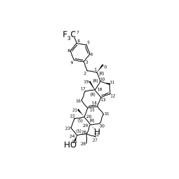 C[C@H](Cc1ccc(C(F)(F)F)cc1)[C@H]1CC=C2C3=C(CC[C@@]21C)[C@@]1(C)CC[C@H](O)C(C)(C)[C@@H]1CC3